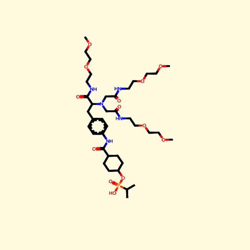 COCCOCCNC(=O)CN(CC(=O)NCCOCCOC)C(Cc1ccc(NC(=O)C2CCC(OP(=O)(O)C(C)C)CC2)cc1)C(=O)NCCOCCOC